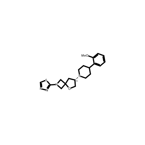 COc1ccccc1C1CCN([C@@H]2COC3(C2)CN(c2nncs2)C3)CC1